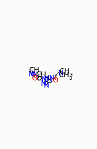 Cc1cnc(Oc2ccc(Nc3ncnc4ccc(NC(=O)C#CCN(C)C)cc34)cc2C)cn1